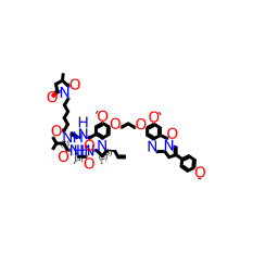 C=CC[C@H]1[C@H](C)C(NC(=O)[C@H](C)NC(=O)[C@@H](NC(=O)CCCCCN2C(=O)CC(C)C2=O)C(C)C)N1c1cc(OCCCOc2cc3c(cc2OC)C(=O)N2C=C(c4ccc(OC)cc4)CC2C=N3)c(OC)cc1C(=O)NC=C